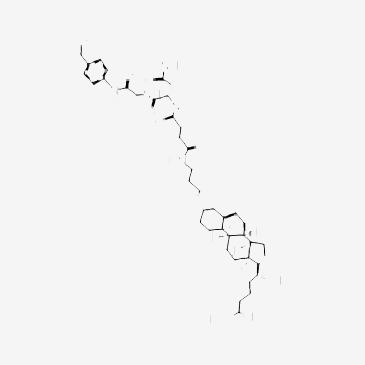 CC(C)CCC[C@@H](C)[C@H]1CC[C@H]2[C@@H]3CC=C4C[C@@H](OCCCNC(=O)CCC(=O)N[C@@H](CC(N)=O)C(=O)NCC(=O)Nc5ccc(CO)cc5)CC[C@]4(C)[C@H]3CC[C@]12C